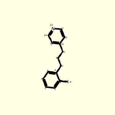 Ic1ccccc1CCCc1ccncc1